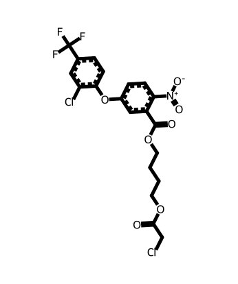 O=C(CCl)OCCCCOC(=O)c1cc(Oc2ccc(C(F)(F)F)cc2Cl)ccc1[N+](=O)[O-]